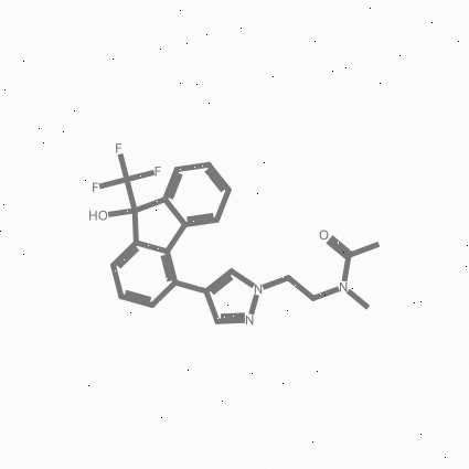 CC(=O)N(C)CCn1cc(-c2cccc3c2-c2ccccc2C3(O)C(F)(F)F)cn1